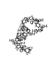 CNC(=O)c1cc(C(=O)Nc2cccc(S(=O)(=O)c3cccc(C(C)(C)NC(=O)c4cc(C(c5ccc(C(=O)O)c(C(=O)Nc6cccc(S(=O)(=O)c7cccc(C)c7)c6)c5)(C(F)(F)F)C(F)(F)F)ccc4C(=O)O)c3)c2)c(C(=O)O)cc1C(=O)O